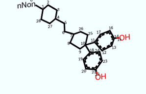 CCCCCCCCCC1CCC(CCC2CCC(c3ccc(O)cc3)(c3ccc(O)cc3)CC2)CC1